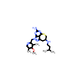 COc1c(C)cnc(Cn2nc3c4c(nc(N)nc42)SCC(NCCC(C)C)C3)c1C